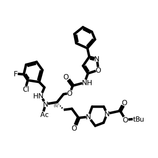 CC(=O)N(NCc1cccc(F)c1Cl)[C@@H](CCC(=O)N1CCN(C(=O)OC(C)(C)C)CC1)COC(=O)Nc1cc(-c2ccccc2)no1